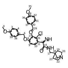 COc1ccc(COc2ccc(C(=N)C(=O)NCC34CCN(CC3)C4)c(Cl)c2OCc2ccc(OC)cc2)cc1